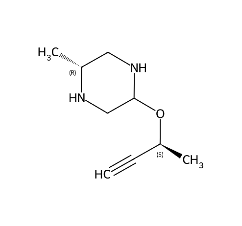 C#C[C@H](C)OC1CN[C@H](C)CN1